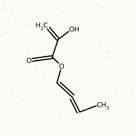 C=C(O)C(=O)OC=C=CC